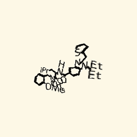 CCC(CC)n1c(Cc2cccs2)nc2cc(C(=O)NC(CC(C)C)C(=O)N(C)Cc3ccccc3OC)ccc21